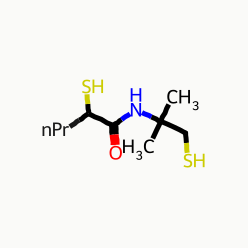 CCCC(S)C(=O)NC(C)(C)CS